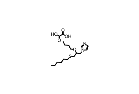 CCCCCCSCC(Cn1ccnc1)OCCCC.O=C(O)C(=O)O